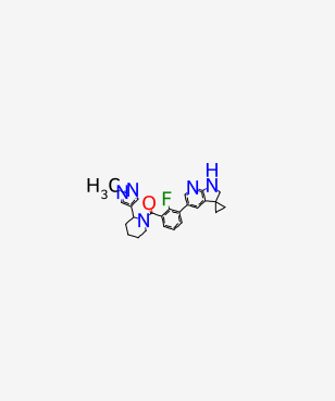 Cn1cc(C2CCCCN2C(=O)c2cccc(-c3cnc4c(c3)C3(CC3)CN4)c2F)cn1